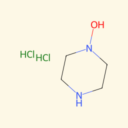 Cl.Cl.ON1CCNCC1